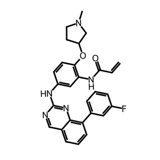 C=CC(=O)Nc1cc(Nc2ncc3cccc(-c4cccc(F)c4)c3n2)ccc1OC1CCN(C)C1